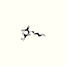 CC=CSC[C@H](NC(C)=O)C(=O)O